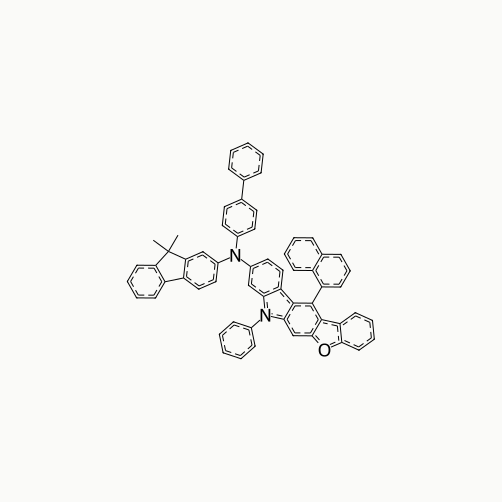 CC1(C)c2ccccc2-c2ccc(N(c3ccc(-c4ccccc4)cc3)c3ccc4c5c(-c6cccc7ccccc67)c6c(cc5n(-c5ccccc5)c4c3)oc3ccccc36)cc21